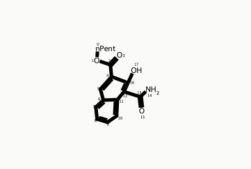 CCCCCOC(=O)c1cc2ccccc2c(C(N)=O)c1O